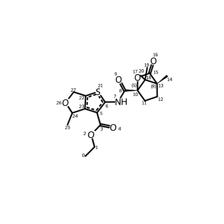 CCOC(=O)c1c(NC(=O)[C@@]23CC[C@@](C)(C(=O)O2)C3(C)C)sc2c1C(C)OC2